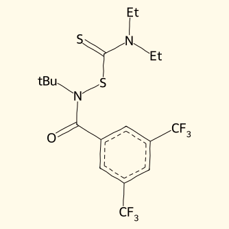 CCN(CC)C(=S)SN(C(=O)c1cc(C(F)(F)F)cc(C(F)(F)F)c1)C(C)(C)C